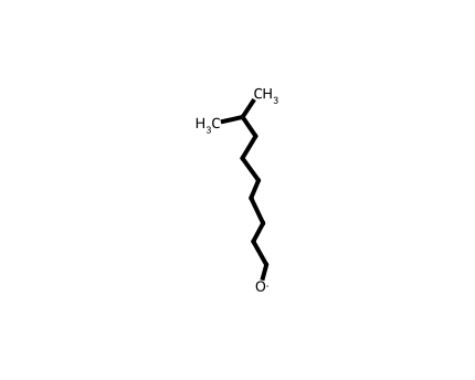 CC(C)CCCCCCC[O]